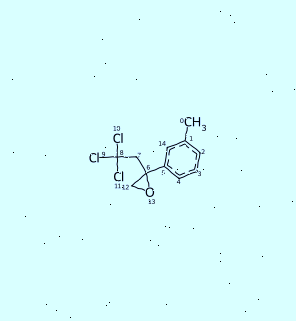 Cc1cccc(C2(CC(Cl)(Cl)Cl)CO2)c1